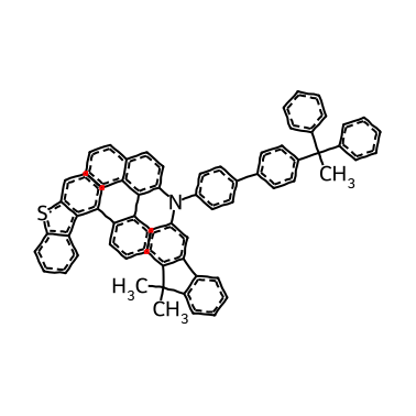 CC1(C)c2ccccc2-c2cc(N(c3ccc(-c4ccc(C(C)(c5ccccc5)c5ccccc5)cc4)cc3)c3ccc4ccccc4c3-c3ccccc3-c3cccc4sc5ccccc5c34)ccc21